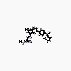 Cn1cncc1C(=O)c1ccc(-c2cnc3[nH]cc(/C=C/C(N)=O)c3n2)cc1